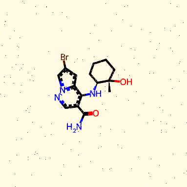 C[C@]1(O)CCCC[C@@H]1Nc1c(C(N)=O)cnn2cc(Br)cc12